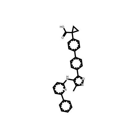 Cc1noc(-c2ccc(-c3ccc(C4(C(=O)O)CC4)cc3)cc2)c1Nc1cccc(-c2ccccc2)n1